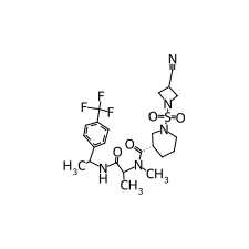 CC(NC(=O)C(C)N(C)C(=O)[C@H]1CCCN(S(=O)(=O)N2CC(C#N)C2)C1)c1ccc(C(F)(F)F)cc1